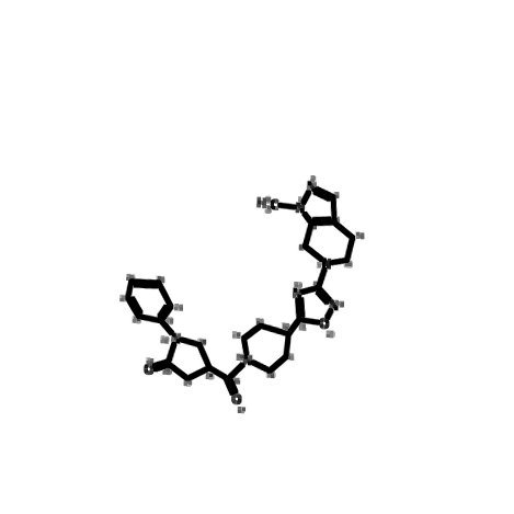 Cn1ncc2c1CN(c1noc(C3CCN(C(=O)C4CC(=O)N(c5ccccc5)C4)CC3)n1)CC2